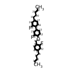 C/C=C/CCc1ccc(COc2ccc(-c3ccc(CC/C=C/C)cc3F)cc2F)c(F)c1